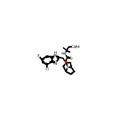 COCC(C)(C)NC(=O)CN1C2CCC1CN(Cc1nc3c(Cl)cc(F)cc3[nH]1)C2